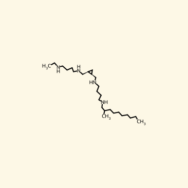 CCCCCCCCC(C)CNCCCCNC[C@@H]1C[C@@H]1CNCCCCNCC